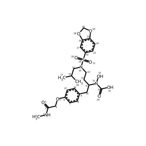 CNC(=O)COc1ccc(CC(CCN(CC(C)C)S(=O)(=O)c2ccc3c(c2)OCO3)N(O)C(=O)O)cc1